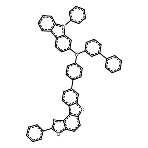 c1ccc(-c2cccc(N(c3ccc(-c4ccc5c(c4)oc4ccc6oc(-c7ccccc7)nc6c45)cc3)c3ccc4c5ccccc5n(-c5ccccc5)c4c3)c2)cc1